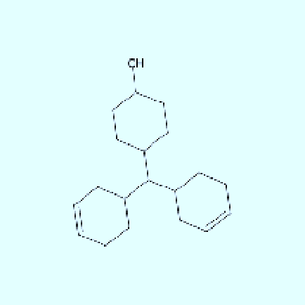 OC1CCC(C(C2CC=CCC2)C2CC=CCC2)CC1